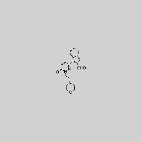 O=Cc1cc2ccccn2c1-c1ccc(=O)n(CCN2CCOCC2)n1